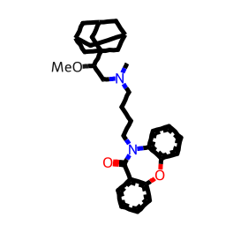 COC(CN(C)CCCCN1C(=O)c2ccccc2Oc2ccccc21)C12CC3CC(CC(C3)C1)C2